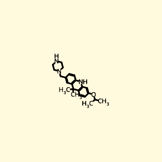 CC(C)Oc1ccc2c(c1)Nc1ccc(CN3CCNCC3)cc1C2(C)C